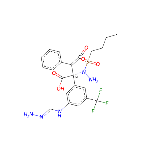 CCCCS(=O)(=O)N(N)[C@](C(=O)O)(C(=C=O)c1ccccc1)c1cc(NC=NN)cc(C(F)(F)F)c1